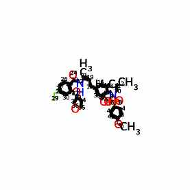 COc1ccc(S(=O)(=O)N(CC(C)C)c2ccc(CC[C@H](C)NC(=O)c3ccc(F)cc3O[C@H]3CCOC3)cc2O)cc1